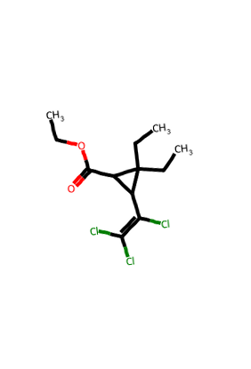 CCOC(=O)C1C(C(Cl)=C(Cl)Cl)C1(CC)CC